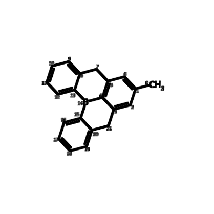 Cc1cc2c3c(c1)Cc1ccccc1B3c1ccccc1C2